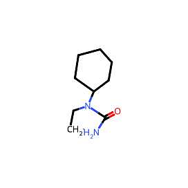 [CH2]CN(C(N)=O)C1CCCCC1